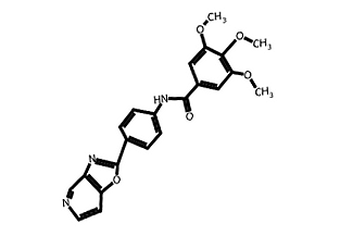 COc1cc(C(=O)Nc2ccc(-c3nc4cnccc4o3)cc2)cc(OC)c1OC